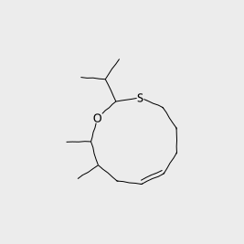 CC(C)C1OC(C)C(C)C/C=C\CCCS1